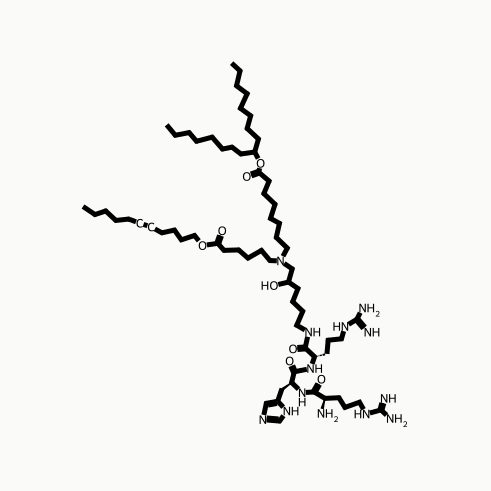 CCCCCCCCCCCOC(=O)CCCCCN(CCCCCCCC(=O)OC(CCCCCCCC)CCCCCCCC)CC(O)CCCCNC(=O)[C@H](CCCNC(=N)N)NC(=O)[C@H](Cc1cnc[nH]1)NC(=O)[C@H](N)CCCNC(=N)N